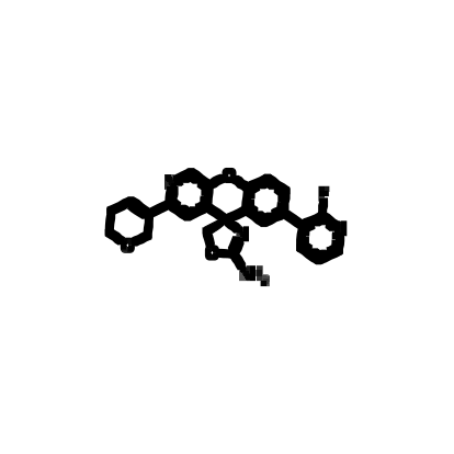 NC1=N[C@@]2(CO1)c1cc(-c3cccnc3F)ccc1Oc1cnc(C3=CCCOC3)cc12